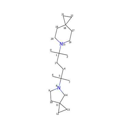 CC(C)(CCC(C)(C)N1CCC2(CC2)C1)N1CCC2(CC1)CC2